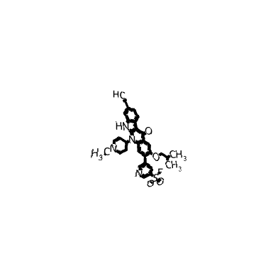 C#Cc1ccc2c(c1)[nH]c1c2c(=O)c2cc(OCC(C)C)c(-c3cncc(S(=O)(=O)F)c3)cc2n1C1CCN(C)CC1